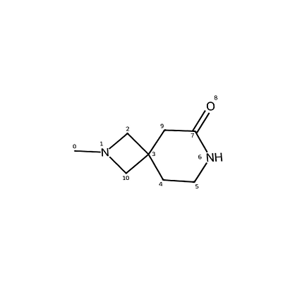 CN1CC2(CCNC(=O)C2)C1